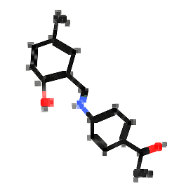 COC(=O)c1ccc(/N=C/c2cc([N+](=O)[O-])ccc2O)cc1